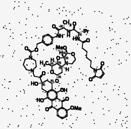 COc1cccc2c1C(=O)c1c(O)c3c(c(O)c1C2=O)C[C@@](O)(C(=O)CN1CCCN(C(=O)OCc2ccc(NC(=O)[C@H](C)NC(=O)[C@@H](NC(=O)CCCCCN4C(=O)C=CC4=O)C(C)C)cc2)CC1)C[C@@H]3O[C@H]1C[C@H]2[C@H](O[C@@H]3[C@@H](OC)OCCN32)[C@H](C)O1